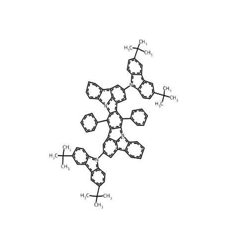 CC(C)(C)c1ccc2c(c1)c1cc(C(C)(C)C)ccc1n2-c1cc2c3ccccc3n3c4c(-c5ccccc5)c5c6cc(-n7c8ccc(C(C)(C)C)cc8c8cc(C(C)(C)C)ccc87)cc7c8ccccc8n(c5c(-c5ccccc5)c4c(c1)c23)c76